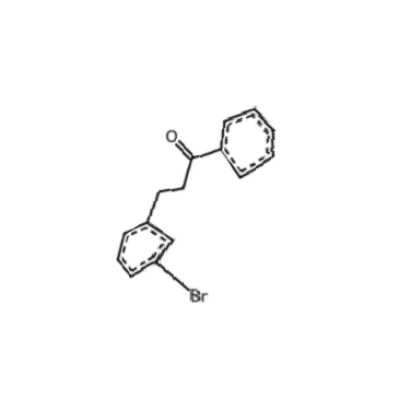 O=C(CCc1cccc(Br)c1)c1ccccc1